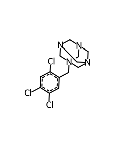 Clc1cc(Cl)c(C[N+]23CN4CN(CN(C4)C2)C3)cc1Cl